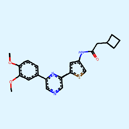 COc1ccc(-c2cncc(-c3cc(NC(=O)CC4CCC4)cs3)n2)cc1OC